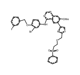 COc1cc2ncnc(Nc3ccc(OCc4cccc(F)c4)c(Br)c3)c2cc1-c1csc(COCCS(=O)(=O)c2ccccc2)n1